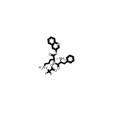 C[C@](CCCN)(C(=O)Sc1cnc2ccccc2c1)N(OC(=O)C(F)(F)F)C(=O)[C@@H](N)Cc1ccccc1